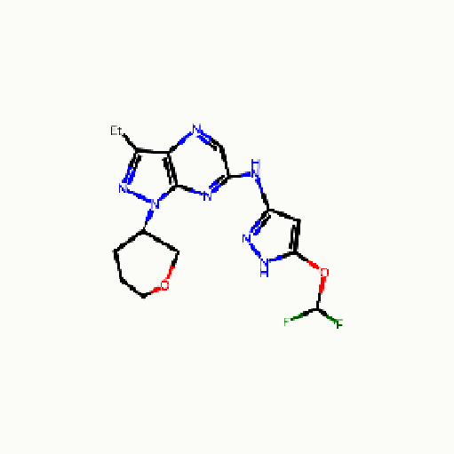 CCc1nn([C@@H]2CCCOC2)c2nc(Nc3cc(OC(F)F)[nH]n3)cnc12